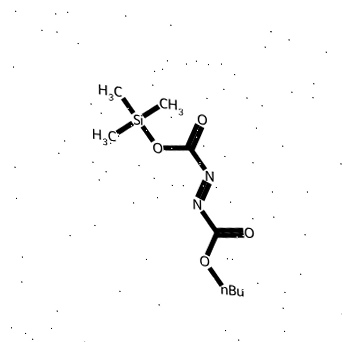 CCCCOC(=O)/N=N/C(=O)O[Si](C)(C)C